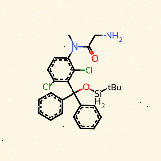 CN(C(=O)CN)c1ccc(Cl)c(C(O[SiH2]C(C)(C)C)(c2ccccc2)c2ccccc2)c1Cl